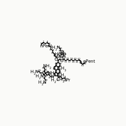 CCCCC/C=C\C/C=C\CCCCCCCC(=O)OC(C1CC[C@@]2(C)C(=CCC3C2CC[C@@]2(C)C3CC[C@@H]2[C@H](C)CCCC(C)C)C1)[C@H](COP(=O)(O)OCCN)OC(=O)CCCCCCC/C=C\C/C=C\CCCCC.NCCCC(N)(CCCN)C(CN)(CCCN)CCCN